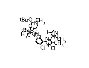 Cc1c(Cl)nc(-c2cc(OC[C@@H](CN(C)C(=O)OC(C)(C)C)O[Si](C)(C)C(C)(C)C)ccc2Cl)nc1-c1c(I)cnn1C